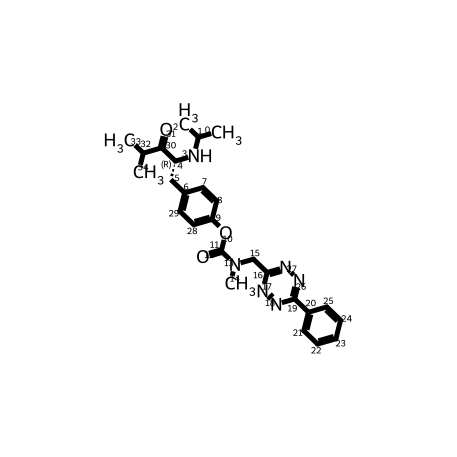 CC(C)N[C@H](Cc1ccc(OC(=O)N(C)Cc2nnc(-c3ccccc3)nn2)cc1)C(=O)C(C)C